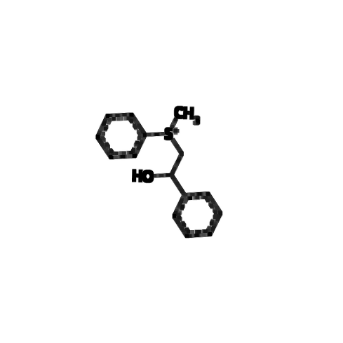 C[S+](CC(O)c1ccccc1)c1ccccc1